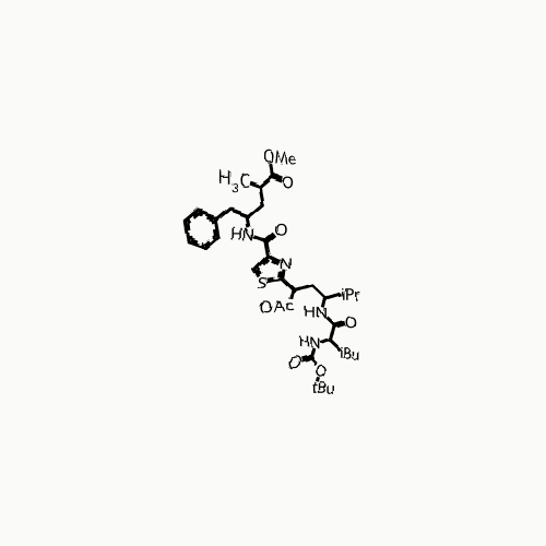 CCC(C)C(NC(=O)OC(C)(C)C)C(=O)NC(CC(OC(C)=O)c1nc(C(=O)NC(Cc2ccccc2)CC(C)C(=O)OC)cs1)C(C)C